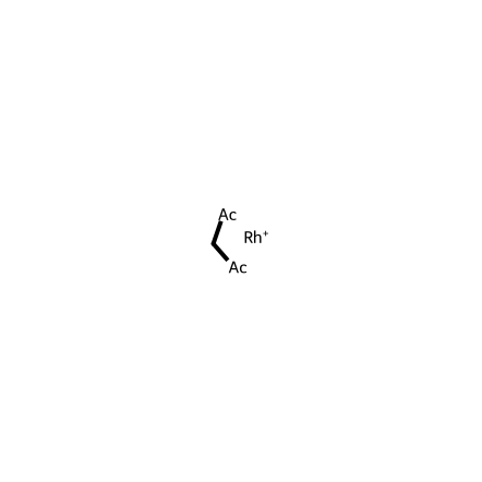 CC(=O)CC(C)=O.[Rh+]